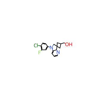 OCC1CC2(C1)CN(c1ccc(Cl)c(F)c1)c1cccnc12